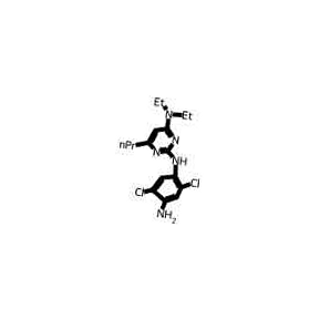 CCCc1cc(N(CC)CC)nc(Nc2cc(Cl)c(N)cc2Cl)n1